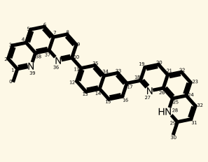 Cc1ccc2ccc3ccc(-c4ccc5ccc(-c6ccc7ccc8c(c7n6)NC(C)C=C8)cc5c4)nc3c2n1